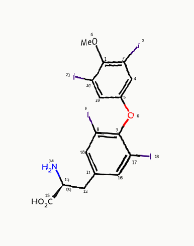 COc1c(I)cc(Oc2c(I)cc(C[C@H](N)C(=O)O)cc2I)cc1I